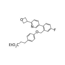 CCOC(=O)CCc1ccc(OCc2cc(F)ccc2-c2ccc(C3COC3)nc2)cc1